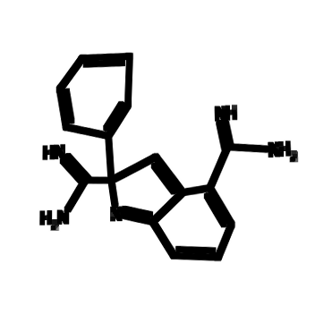 N=C(N)c1cccc2c1=CC(C(=N)N)(c1ccccc1)N=2